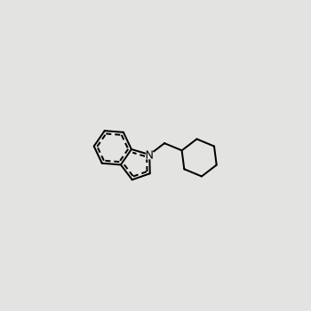 c1ccc2c(c1)ccn2CC1CCCCC1